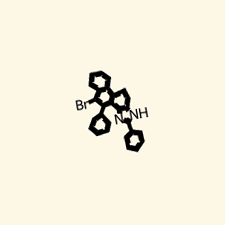 Brc1c(-c2ccccc2)c2c(ccc3[nH]c(-c4ccccc4)nc32)c2ccccc12